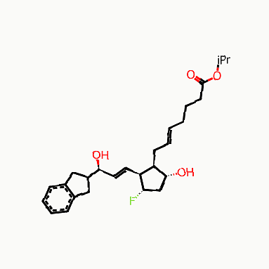 CC(C)OC(=O)CCCC=CC[C@@H]1[C@H](C=C[C@H](O)C2Cc3ccccc3C2)[C@@H](F)C[C@H]1O